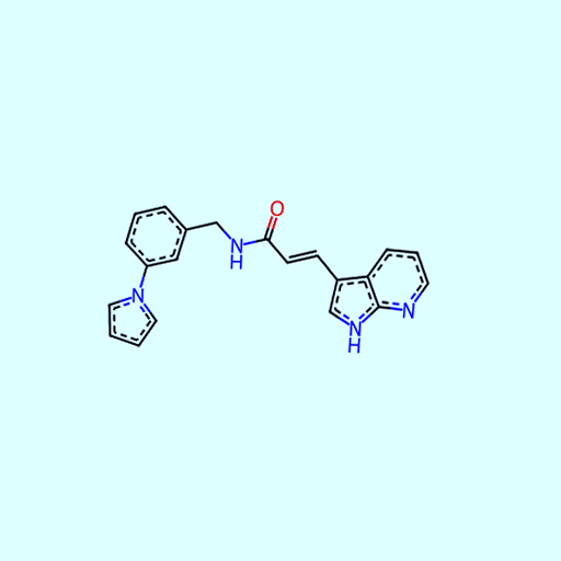 O=C(C=Cc1c[nH]c2ncccc12)NCc1cccc(-n2cccc2)c1